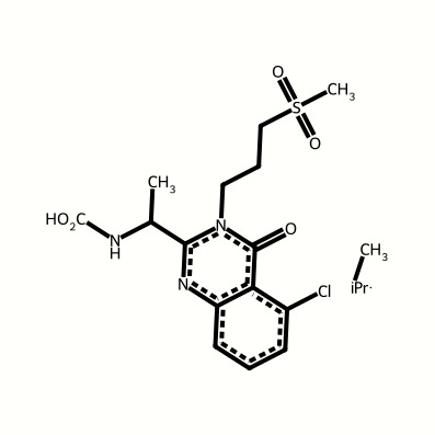 CC(NC(=O)O)c1nc2cccc(Cl)c2c(=O)n1CCCS(C)(=O)=O.C[C](C)C